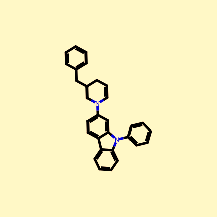 C1=CN(c2ccc3c4ccccc4n(-c4ccccc4)c3c2)CC(Cc2ccccc2)C1